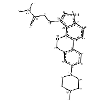 CN1CCN(c2ccc3c(c2)COc2c-3cnc3[nH]cc(CCC(=O)N(C)C)c23)CC1